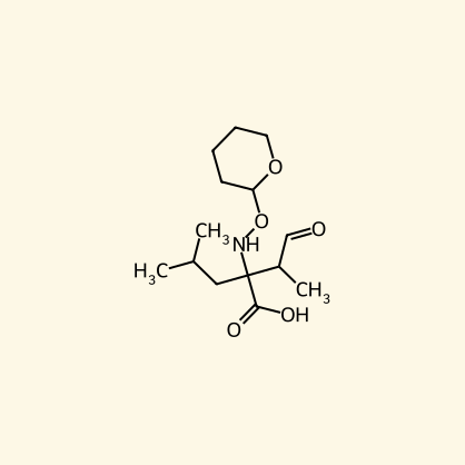 CC(C)CC(NOC1CCCCO1)(C(=O)O)C(C)C=O